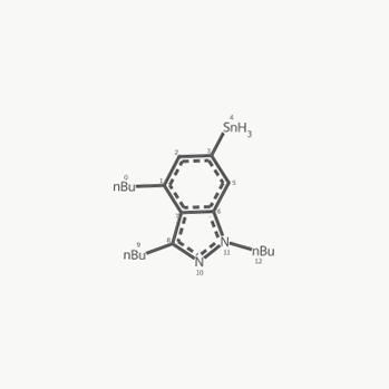 CCCCc1c[c]([SnH3])cc2c1c(CCCC)nn2CCCC